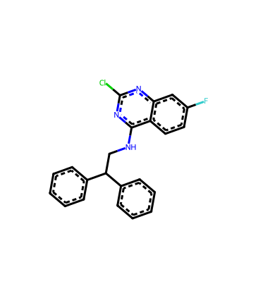 Fc1ccc2c(NCC(c3ccccc3)c3ccccc3)nc(Cl)nc2c1